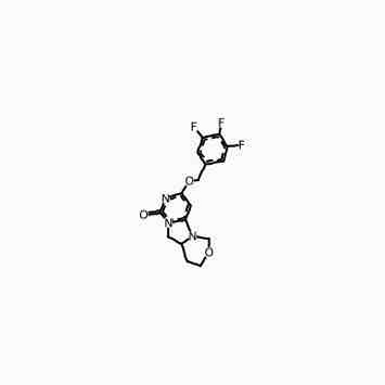 O=c1nc(OCc2cc(F)c(F)c(F)c2)cc2n1CC1CCOCN21